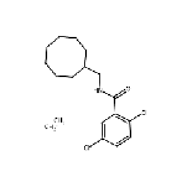 O=C(NC[C]1CCCCCCC1)c1cc(Cl)ccc1Cl.[CH2].[CH2]